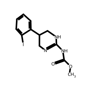 COC(=O)NC1=NCC(c2ccccc2I)CN1